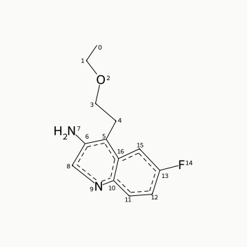 CCOCCc1c(N)cnc2ccc(F)cc12